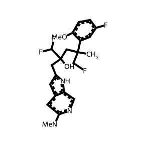 CNc1cc2cc(CC(O)(CC(C)(CF)c3cc(F)ccc3OC)C(F)F)[nH]c2cn1